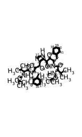 CC(C)[C@H](NOC(C)(C)C)C(=O)N[C@@H](Cc1ccccc1)C(=O)C(=O)c1nc[nH]c1C(=O)C(=O)[C@H](Cc1ccccc1)NC(=O)[C@@H](NOC(C)(C)C)C(C)C